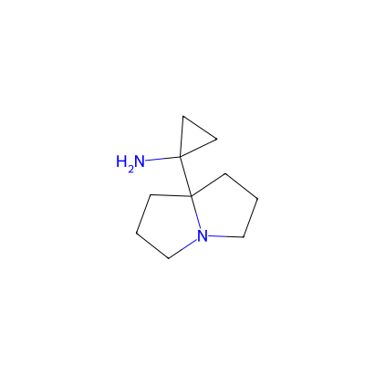 NC1(C23CCCN2CCC3)CC1